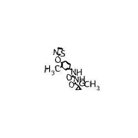 COC1(C(=O)NC(=O)Nc2ccc(Oc3nccs3)c(C)c2)CC1